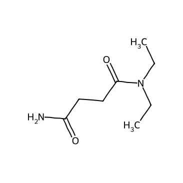 CCN(CC)C(=O)CCC(N)=O